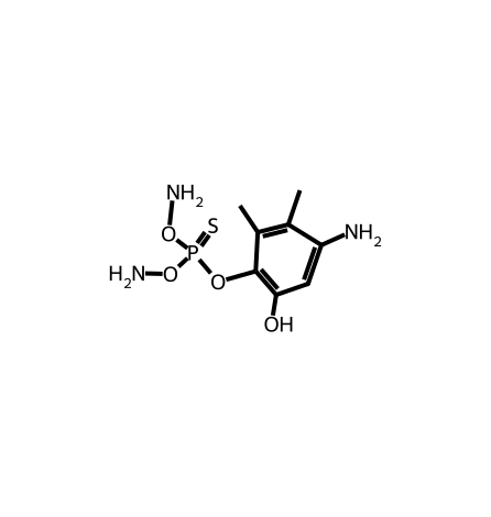 Cc1c(N)cc(O)c(OP(=S)(ON)ON)c1C